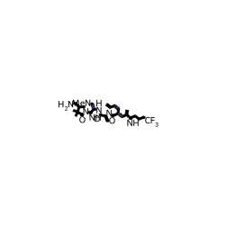 C=C/C=C\C(=C/C(=C)C(=N)CCCC(F)(F)F)c1nc(C(=O)N/C(=C/NC)C(=N)N2CC(CN)C(C)(C)C2=O)co1